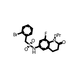 CCCN1C(=O)CCc2cc(NS(=O)(=O)Cc3ccccc3Br)cc(F)c21